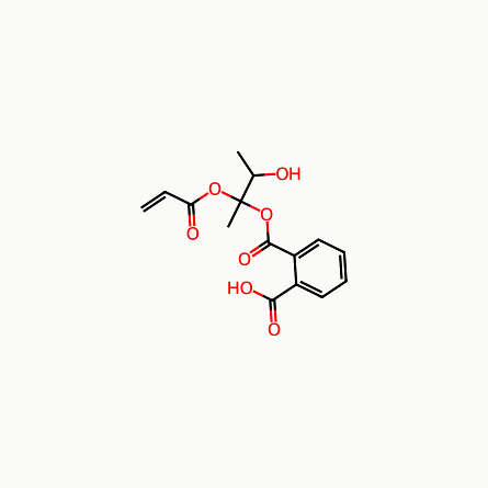 C=CC(=O)OC(C)(OC(=O)c1ccccc1C(=O)O)C(C)O